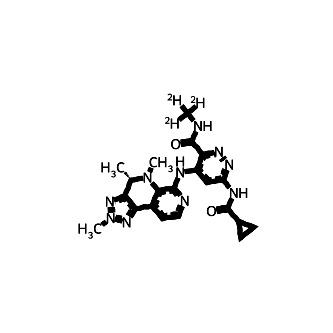 [2H]C([2H])([2H])NC(=O)c1nnc(NC(=O)C2CC2)cc1Nc1nccc2c1N(C)[C@@H](C)c1nn(C)nc1-2